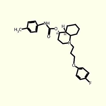 Cc1ccc(NC(=O)O[C@H]2CCN(CCCOc3ccc(F)cc3)C3CCCC[C@H]32)cc1